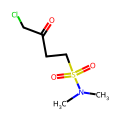 CN(C)S(=O)(=O)CCC(=O)CCl